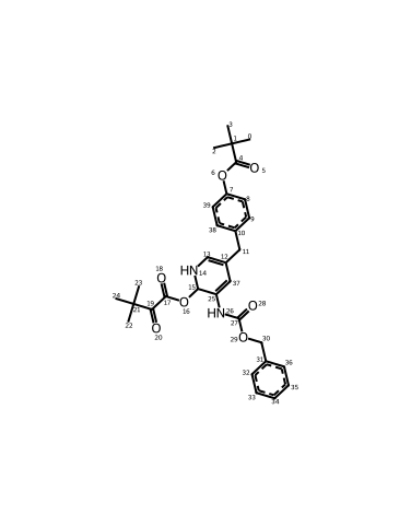 CC(C)(C)C(=O)Oc1ccc(CC2=CNC(OC(=O)C(=O)C(C)(C)C)C(NC(=O)OCc3ccccc3)=C2)cc1